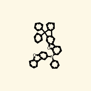 c1ccc(N(c2ccc3oc4ccccc4c3c2)c2cccc3c2oc2cc4c(cc23)-c2ccccc2C4(c2ccccc2)c2ccccc2)cc1